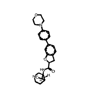 O=C(N[C@H]1CN2CCC1CC2)C1Cc2ccc(-c3ccc(N4CCOCC4)cc3)cc2O1